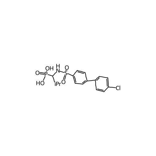 CC(C)C(NS(=O)(=O)c1ccc(-c2ccc(Cl)cc2)cc1)P(=O)(O)O